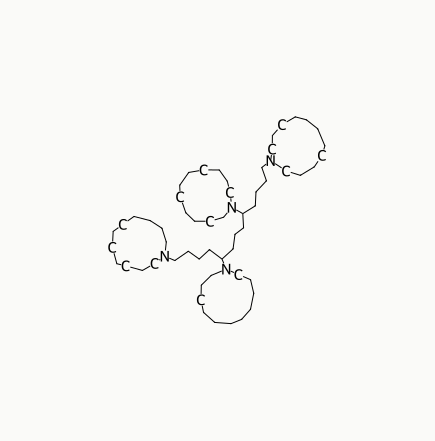 C1CCCCCN(CCCCC(CCCC(CCCCN2CCCCCCCCCCC2)N2CCCCCCCCCCC2)N2CCCCCCCCCCC2)CCCCC1